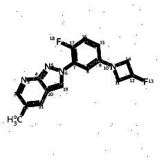 Cc1cnc2nn(-c3cc(N4CC(F)C4)ccc3F)cc2c1